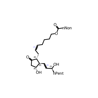 CCCCCCCCCC(=O)OCCCC/C=C\C[C@H]1C(=O)C[C@@H](O)[C@@H]1/C=C/[C@@H](O)CCCCC